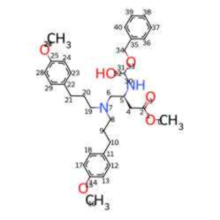 COC(=O)C[C@@H](CN(CCCc1ccc(OC)cc1)CCCc1ccc(OC)cc1)NC(O)OCc1ccccc1